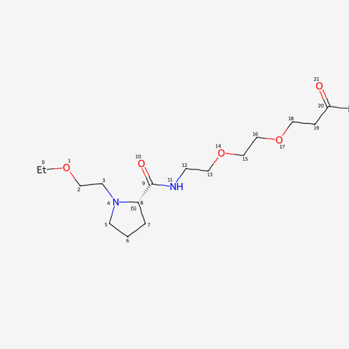 CCOCCN1CCC[C@H]1C(=O)NCCOCCOCCC(=O)CC